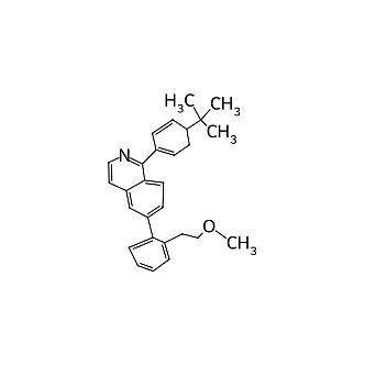 COCCc1ccccc1-c1ccc2c(C3=CCC(C(C)(C)C)C=C3)nccc2c1